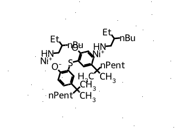 CCCCC(CC)C[NH][Ni+].CCCCC(CC)C[NH][Ni+].CCCCCC(C)(C)c1ccc([O-])c(Sc2cc(C(C)(C)CCCCC)ccc2[O-])c1